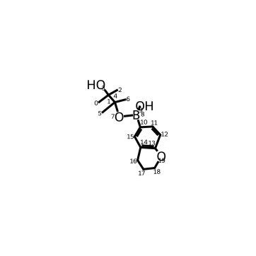 CC(C)(O)C(C)(C)OB(O)c1ccc2c(c1)CCCO2